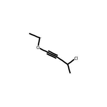 C[CH]OC#CC(C)Cl